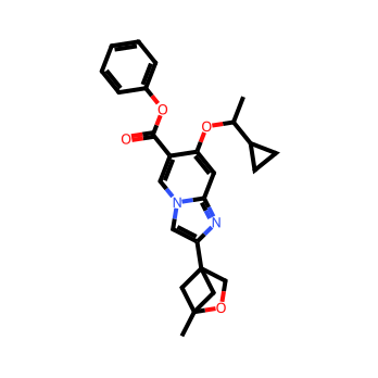 CC(Oc1cc2nc(C34COC(C)(C3)C4)cn2cc1C(=O)Oc1ccccc1)C1CC1